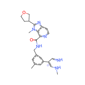 CN/C=C(\C=N)c1cc(C)cc(CNC(=O)c2nccc3nc(C4CCOC4)n(C)c23)c1